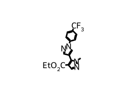 CCOC(=O)c1cnn(C)c1-c1cnn(-c2ccc(C(F)(F)F)cc2)c1